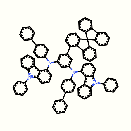 c1ccc(-c2ccc(N(c3cc(-c4cccc5c4-c4ccccc4C54c5ccccc5-c5ccccc54)cc(N(c4ccc(-c5ccccc5)cc4)c4cccc5c4c4ccccc4n5-c4ccccc4)c3)c3cccc4c3c3ccccc3n4-c3ccccc3)cc2)cc1